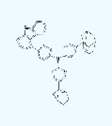 c1ccc2c(c1)sc1cccc(-c3ccc(N(c4ccc(C5CC6CCC5C6)cc4)c4ccc(C56CC7CC(CC(C7)C5)C6)cc4)cc3)c12